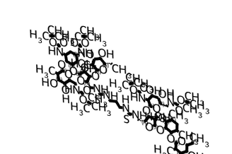 CCC1O[C@@H](OC2C(C)C[C@H](C)[C@H](O)C2O[C@@H]2O[C@H](CNC(=S)NCCCNC(=S)NC[C@H]3O[C@@H](O[C@H]4C(O[C@H]5OC(CNC(=O)OC(C)(C)C)C(O)[C@H](O)C5C)C(NC(=O)OC(C)(C)C)C[C@@H](NC(=O)OC(C)(C)C)C4O)[C@@H](O)C3O[C@H]3O[C@@H](CC)C(O)C(O)C3C)C(O[C@@H]3O[C@H](CNC(=O)OC(C)(C)C)C(O)C(O)C3NC(=O)OC(C)(C)C)C2O)C(C)[C@@H](O)C1O